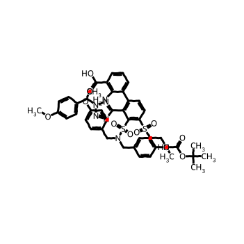 COc1ccc(CN(Cc2ccc(OC)cc2)S(=O)(=O)c2c(S(=O)(=O)CCNC(=O)OC(C)(C)C)ccc(-c3cccc(C(=O)O)c3N)c2-c2nnn(Cc3ccc(OC)cc3)n2)cc1